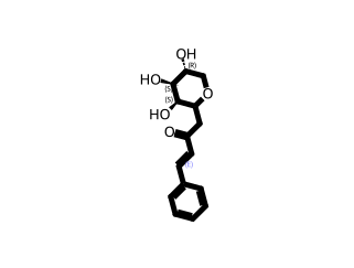 O=C(/C=C/c1ccccc1)CC1OC[C@@H](O)[C@H](O)[C@@H]1O